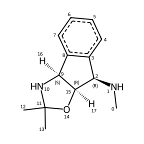 CN[C@@H]1c2ccccc2[C@@H]2NC(C)(C)O[C@H]12